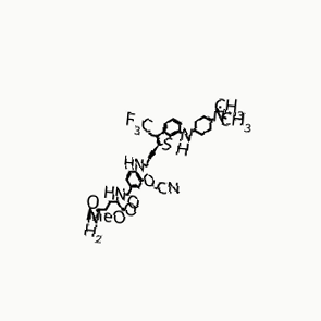 COC(=O)C(CCC(N)=O)NC(=O)c1ccc(NCC#Cc2sc3c(NC4CCC(N(C)C)CC4)cccc3c2CC(F)(F)F)c(OCC#N)c1